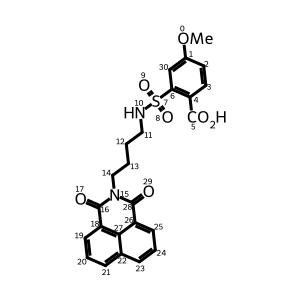 COc1ccc(C(=O)O)c(S(=O)(=O)NCCCCN2C(=O)c3cccc4cccc(c34)C2=O)c1